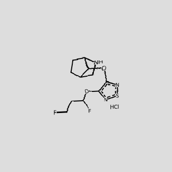 Cl.FCCC(F)Oc1nsnc1OC1C2CCC1NC2